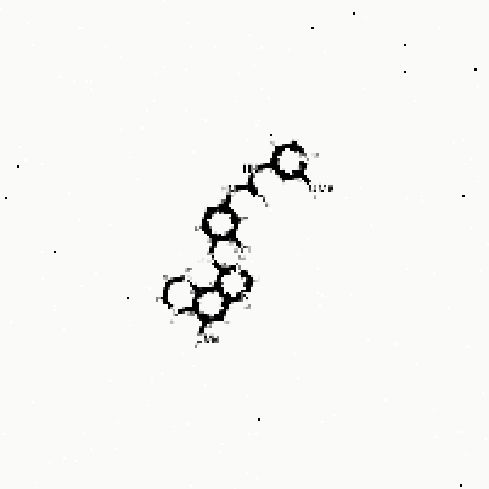 COc1cc(NC(=O)Nc2ccc(Oc3ncnc4cc(OC)c5c(c34)OCCO5)c(Cl)c2)ccn1